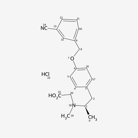 C[C@H](Cc1ccc(OCc2cccc(C#N)c2)cc1)N(C)CC(=O)O.Cl